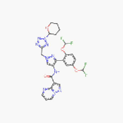 O=C(Nc1cn(Cc2nnn(C3CCCCO3)n2)nc1-c1cc(OC(F)F)ccc1OC(F)F)c1cnn2cccnc12